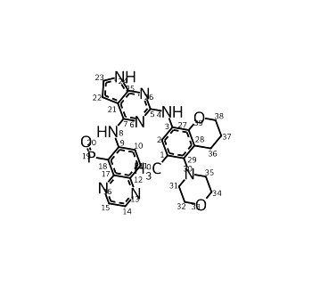 Cc1cc(Nc2nc(Nc3ccc4nccnc4c3P=O)c3cc[nH]c3n2)c2c(c1N1CCOCC1)CCCO2